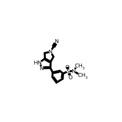 CN(C)S(=O)(=O)c1cccc(-c2n[nH]c3c2CN(C#N)C3)c1